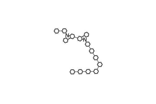 c1ccc(-c2ccc(-c3ccc(-c4cccc(-c5cccc(-c6ccc(-c7ccc(-c8ccc(-n9c%10ccccc%10c%10cc(-c%11ccc%12c(c%11)c%11ccccc%11n%12-c%11cccc(-c%12ccccc%12)c%11)ccc%109)cc8)cc7)cc6)c5)c4)cc3)cc2)cc1